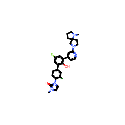 CN1CCCC12CCN(c1cc(-c3cc(F)cc(-c4ccc(-n5ccn(C)c5=O)c(Cl)c4)c3O)ccn1)C2